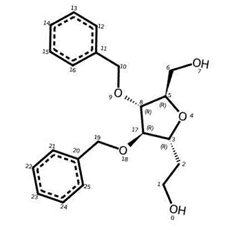 OCC[C@H]1O[C@H](CO)[C@@H](OCc2ccccc2)[C@@H]1OCc1ccccc1